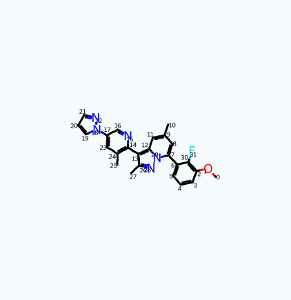 COc1cccc(-c2cc(C)cc3c(-c4ncc(-n5cccn5)cc4C)c(C)nn23)c1F